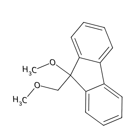 COCC1(OC)c2ccccc2-c2ccccc21